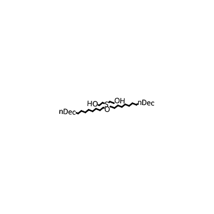 CCCCCCCCCCCCCCCCCCOCCCCCCCCCCCCCCCCCC.OCCSCCO